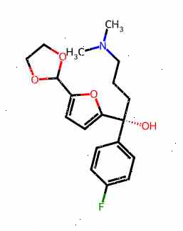 CN(C)CCC[C@@](O)(c1ccc(F)cc1)c1ccc(C2OCCO2)o1